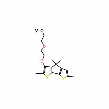 COCCOCCOc1c(C)sc2c1C(C)(C)c1cc(C)sc1-2